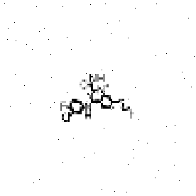 NC(=O)c1nc(Nc2ccc(F)c(Cl)c2)c2c[c]c(SCCF)cc2n1